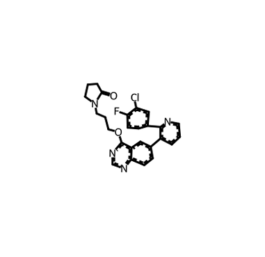 O=C1CCCN1CCCOc1ncnc2ccc(-c3cccnc3-c3ccc(F)c(Cl)c3)cc12